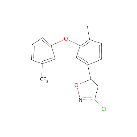 Cc1ccc(C2CC(Cl)=NO2)cc1Oc1cccc(C(F)(F)F)c1